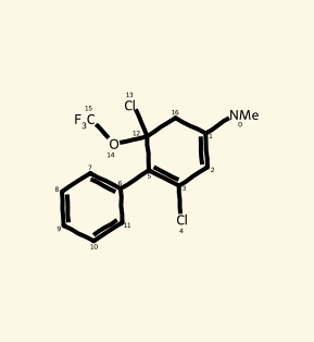 CNC1=CC(Cl)=C(c2ccccc2)C(Cl)(OC(F)(F)F)C1